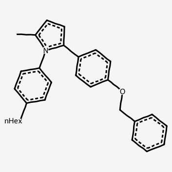 CCCCCCc1ccc(-n2c(C)ccc2-c2ccc(OCc3ccccc3)cc2)cc1